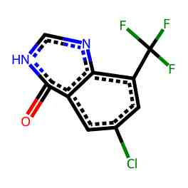 O=c1[nH]cnc2c(C(F)(F)F)cc(Cl)cc12